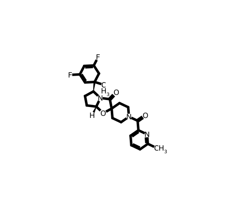 Cc1cccc(C(=O)N2CCC3(CC2)O[C@@H]2CC[C@@H](C4(C)C=C(F)C=C(F)C4)N2C3=O)n1